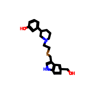 OCc1ccc2[nH]cc(CSCCN3CCCC(c4cccc(O)c4)C3)c2c1